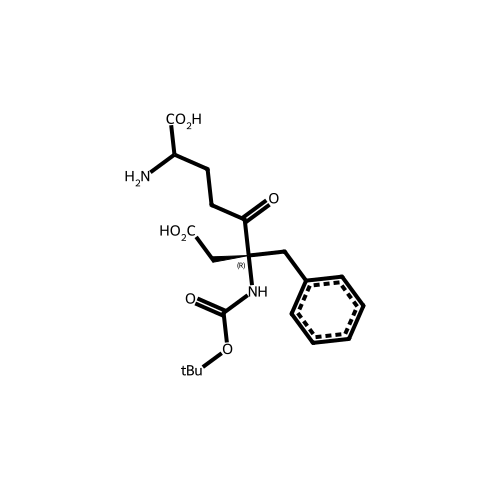 CC(C)(C)OC(=O)N[C@@](CC(=O)O)(Cc1ccccc1)C(=O)CCC(N)C(=O)O